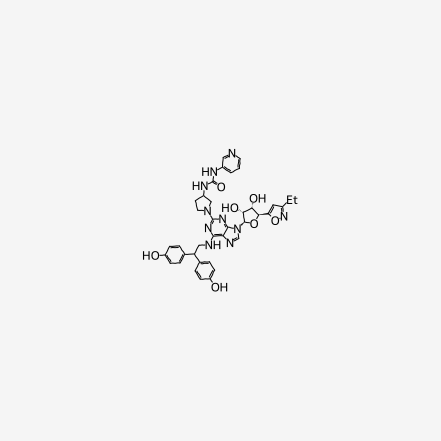 CCc1cc([C@H]2O[C@@H](n3cnc4c(NCC(c5ccc(O)cc5)c5ccc(O)cc5)nc(N5CCC(NC(=O)Nc6cccnc6)C5)nc43)[C@H](O)[C@@H]2O)on1